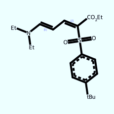 CCOC(=O)/C(=C/C=C/N(CC)CC)S(=O)(=O)c1ccc(C(C)(C)C)cc1